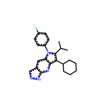 CC(C)c1c(C2CCCCC2)c2nc3[nH]ncc3cc2n1-c1ccc(F)cc1